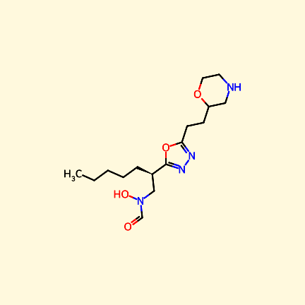 CCCCC[C@H](CN(O)C=O)c1nnc(CCC2CNCCO2)o1